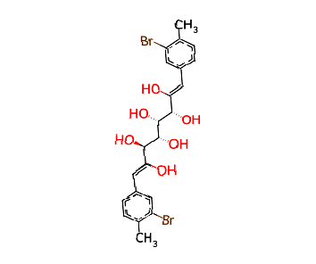 Cc1ccc(C=C(O)[C@@H](O)[C@@H](O)[C@H](O)[C@@H](O)C(O)=Cc2ccc(C)c(Br)c2)cc1Br